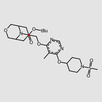 Cc1c(OCC2CC3COCC(C2)N3C(=O)OC(C)(C)C)ncnc1OC1CCN(S(C)(=O)=O)CC1